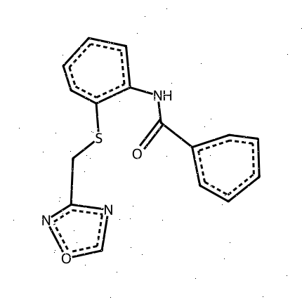 O=C(Nc1ccccc1SCc1ncon1)c1ccccc1